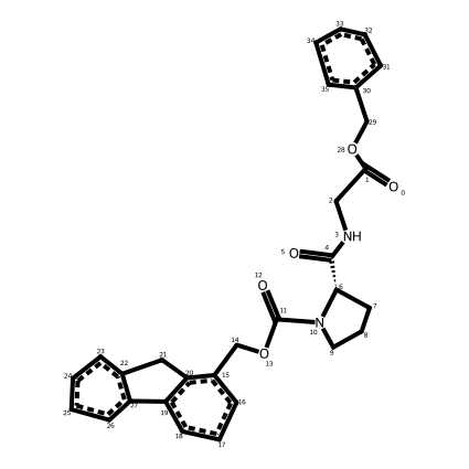 O=C(CNC(=O)[C@@H]1CCCN1C(=O)OCc1cccc2c1Cc1ccccc1-2)OCc1ccccc1